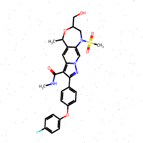 CNC(=O)c1c(-c2ccc(Oc3ccc(F)cc3)cc2)nn2cc3c(cc12)C(C)OC(CO)CN3S(C)(=O)=O